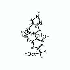 CCCCCCCCC(C)(C)c1cc(O)c2c(c1)OC(C)(C)[C@@H]1Cc3cn(C)nc3C[C@@H]21